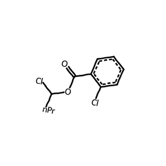 CCCC(Cl)OC(=O)c1ccccc1Cl